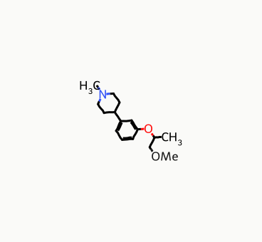 COCC(C)Oc1cccc(C2CCN(C)CC2)c1